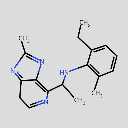 CCc1cccc(C)c1NC(C)C1=C2N=C(C)N=C2CC=N1